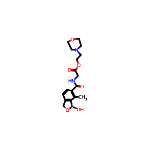 Cc1c(C(=O)NCC(=O)OCCN2CCOCC2)ccc2c1B(O)OC2